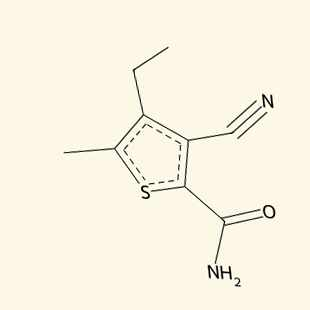 CCc1c(C)sc(C(N)=O)c1C#N